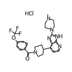 CN1CCN(c2nc3c(C4CCN(C(=O)c5ccc(OC(F)(F)F)cc5)CC4)ccnc3[nH]2)CC1.Cl